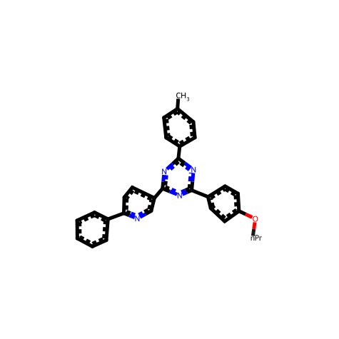 CCCOc1ccc(-c2nc(-c3ccc(C)cc3)nc(-c3ccc(-c4ccccc4)nc3)n2)cc1